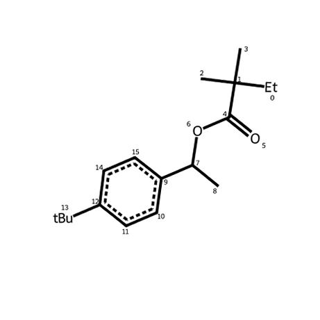 CCC(C)(C)C(=O)OC(C)c1ccc(C(C)(C)C)cc1